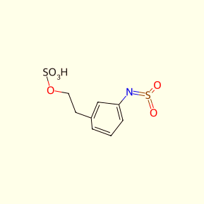 O=S(=O)=Nc1cccc(CCOS(=O)(=O)O)c1